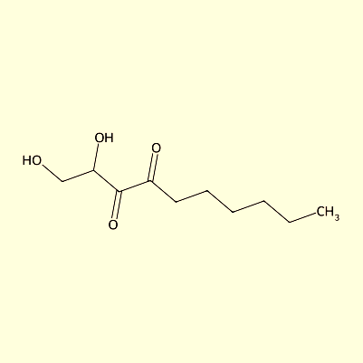 CCCCCCC(=O)C(=O)C(O)CO